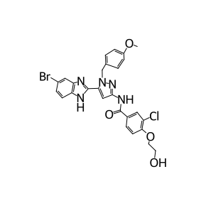 COc1ccc(Cn2nc(NC(=O)c3ccc(OCCO)c(Cl)c3)cc2-c2nc3cc(Br)ccc3[nH]2)cc1